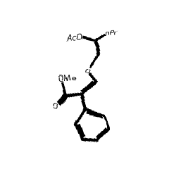 CCCC(COC=C(C(=O)OC)c1ccccc1)OC(C)=O